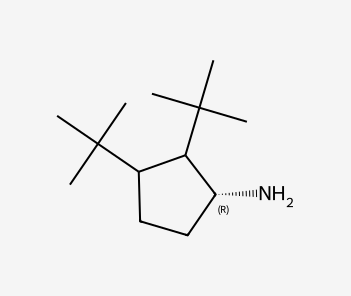 CC(C)(C)C1CC[C@@H](N)C1C(C)(C)C